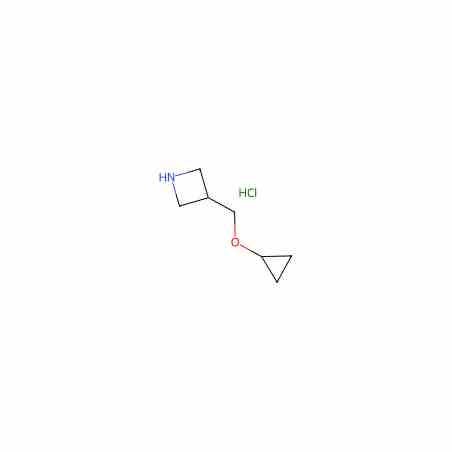 C1NCC1COC1CC1.Cl